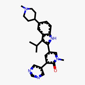 CC(C)c1c(-c2cc(-c3cncnc3)c(=O)n(C)c2)[nH]c2ccc(C3CCN(C)CC3)cc12